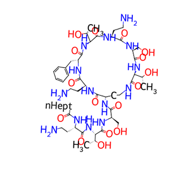 CCCCCCCC(=O)N[C@@H](CCN)C(=O)N[C@H](C(=O)N[C@H](CO)C(=O)N[C@H]1CCNC(=O)[C@H]([C@@H](C)O)NC(=O)[C@H](CO)NC(=O)[C@H](CCN)NC(=O)[C@H]([C@@H](C)O)NC(=O)[C@@H](Cc2ccccc2)NC(=O)[C@H](CCN)NC1=O)[C@@H](C)O